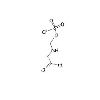 O=C(Cl)CNCOS(=O)(=O)Cl